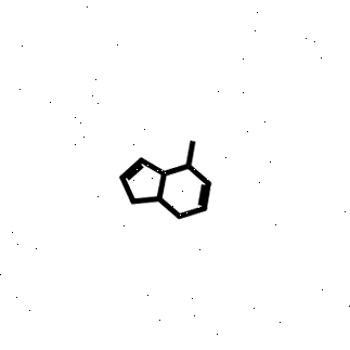 CC1C=CCC2CC=CC12